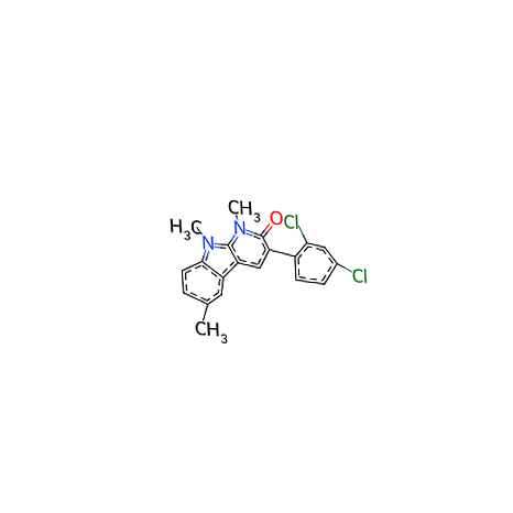 Cc1ccc2c(c1)c1cc(-c3ccc(Cl)cc3Cl)c(=O)n(C)c1n2C